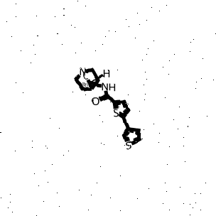 O=C(N[C@H]1CN2CCC1CC2)c1ccc(-c2ccsc2)s1